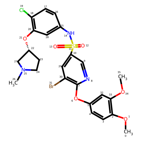 COc1ccc(Oc2ncc(S(=O)(=O)Nc3ccc(Cl)c(O[C@@H]4CCN(C)C4)c3)cc2Br)cc1OC